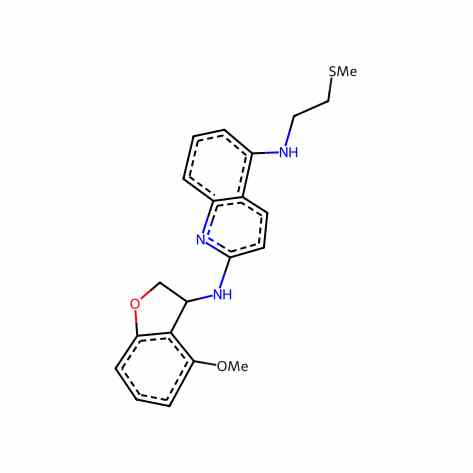 COc1cccc2c1C(Nc1ccc3c(NCCSC)cccc3n1)CO2